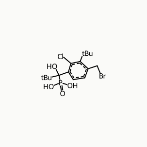 CC(C)(C)c1c(CBr)ccc(C(O)(C(C)(C)C)P(=O)(O)O)c1Cl